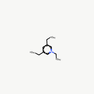 CCCCCCCCCCCc1cc(CCCCCCCCCCC)c[n+](CCCCCCCCCCC)c1